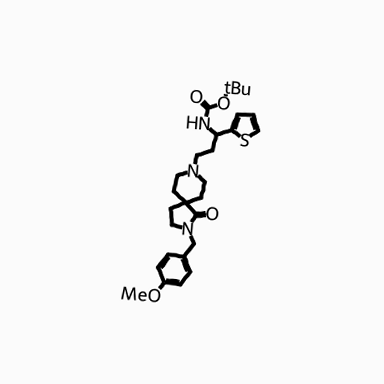 COc1ccc(CN2CCC3(CCN(CCC(NC(=O)OC(C)(C)C)c4cccs4)CC3)C2=O)cc1